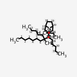 CCCCCCCC(C)(CCCCC)NC1CC2CCC(C1)N2C(C)(CC)CCCCCC